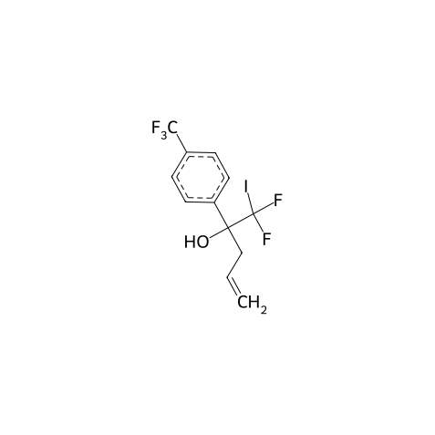 C=CCC(O)(c1ccc(C(F)(F)F)cc1)C(F)(F)I